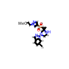 COCCn1cc(S(=O)(=O)C2CC23CN(n2ncc4ccc(C)cc42)CCN3)cn1